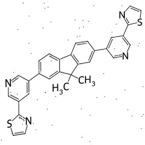 CC1(C)c2cc(-c3cncc(-c4nccs4)c3)ccc2-c2ccc(-c3cncc(-c4nccs4)c3)cc21